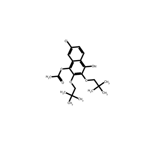 CC(=O)Oc1c(OCC(C)(C)C)c(OCC(C)(C)C)c(O)c2ccc(Cl)cc12